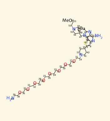 CCCCc1nc2c(N)nc3cc(C4CCN(CCOCCOCCOCCOCCOCCOCCOCCOCCN)CC4)sc3c2n1CC1CCN(CCOC)CC1